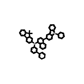 CC1(C)c2ccccc2-c2ccc(N(c3cccc(C4=CCCC=C4)c3)c3ccc(-c4ccc5c(c4)c4ccccc4n5-c4ccccc4)c4ccccc34)cc21